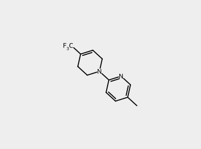 Cc1ccc(N2CC=C(C(F)(F)F)CC2)nc1